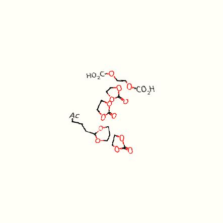 CC(=O)CCCC1OCCCO1.O=C(O)OCCOC(=O)O.O=C1OCCO1.O=C1OCCO1.O=C1OCCO1